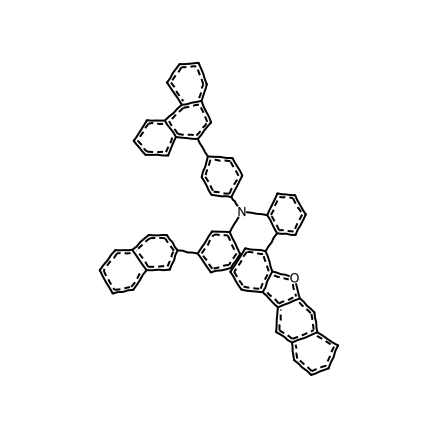 c1cc(-c2ccc3ccccc3c2)cc(N(c2ccc(-c3cc4ccccc4c4ccccc34)cc2)c2ccccc2-c2cccc3c2oc2cc4ccccc4cc23)c1